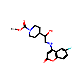 CC(C)(C)OC(=O)N1CCC(C(O)CNc2cc(=O)oc3ccc(F)cc23)CC1